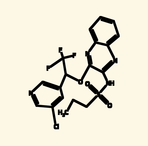 CCCS(=O)(=O)Nc1nc2ccccc2nc1OC(c1cncc(Cl)c1)C(F)(F)F